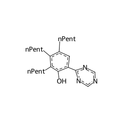 CCCCCc1cc(-c2ncncn2)c(O)c(CCCCC)c1CCCCC